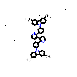 Cc1ccc2c(c1)c1cc(C)ccc1n2-c1cccc(-c2ncccc2-c2cccnc2-c2cccc(-n3c4ccc(C)cc4c4cc(C)ccc43)c2)c1